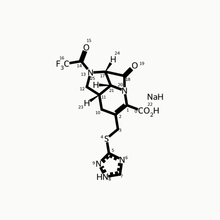 O=C(O)C1=C(CSc2nc[nH]n2)C[C@@H]2CN(C(=O)C(F)(F)F)[C@@H]3C(=O)N1[C@H]23.[NaH]